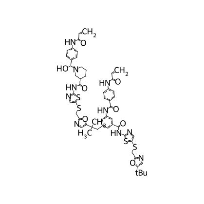 C=CC(=O)Nc1ccc(C(=O)Nc2cc(CC(C)(C)c3cnc(CSc4cnc(NC(=O)C5CCCN(C(O)c6ccc(NC(=O)C=C)cc6)C5)s4)o3)cc(C(=O)Nc3ncc(SCc4ncc(C(C)(C)C)o4)s3)c2)cc1